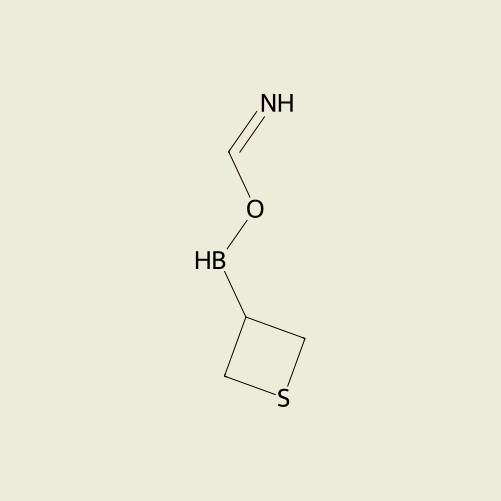 N=COBC1CSC1